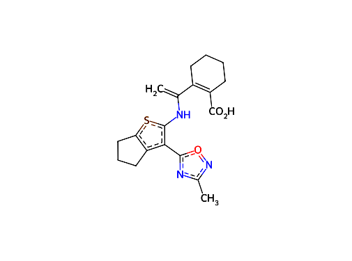 C=C(Nc1sc2c(c1-c1nc(C)no1)CCC2)C1=C(C(=O)O)CCCC1